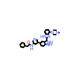 CN1CCN(c2cccc3[nH]c(C4NNC5C=CC(c6cncc(NC(=O)Cc7ccccc7)c6)=CC54)nc23)CC1